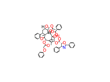 CC(=O)O[C@@]12CO[C@@H]1C[C@H](c1ccccc1)[C@@]1(C)C(=O)[C@H](OC(=O)COc3ccccc3)C3=C(C)C(OC(=O)[C@@H]4OC(c5ccccc5)=N[C@H]4c4ccccc4)C[C@@](O)([C@@H](OC(=O)c4ccccc4)[C@H]21)C3(C)C